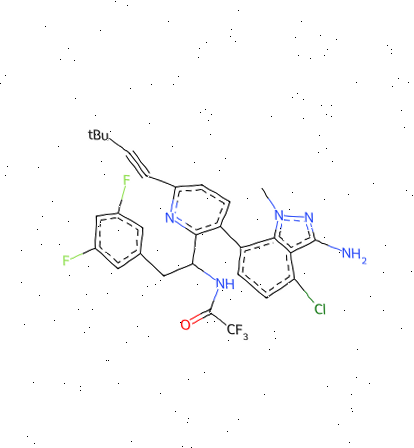 Cn1nc(N)c2c(Cl)ccc(-c3ccc(C#CC(C)(C)C)nc3C(Cc3cc(F)cc(F)c3)NC(=O)C(F)(F)F)c21